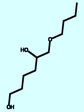 CCCCOCC(O)CCCCO